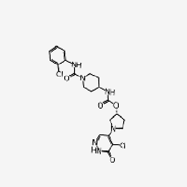 O=C(NC1CCN(C(=O)Nc2ccccc2Cl)CC1)O[C@@H]1CCN(c2cn[nH]c(=O)c2Cl)C1